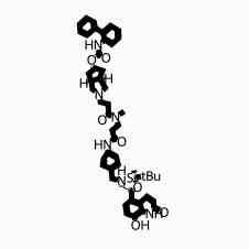 CN(CCC(=O)Nc1ccc(CNC[C@H](O[Si](C)(C)C(C)(C)C)c2ccc(O)c3[nH]c(=O)ccc23)cc1)C(=O)CCN1C[C@H]2C[C@H](OC(=O)Nc3ccccc3-c3ccccc3)C[C@H]2C1